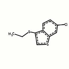 CCSc1csc2cc(Cl)ccc12